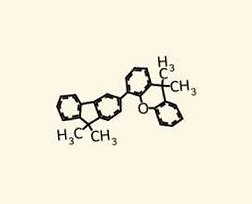 CC1(C)c2ccccc2-c2cc(-c3cccc4c3Oc3ccccc3C4(C)C)ccc21